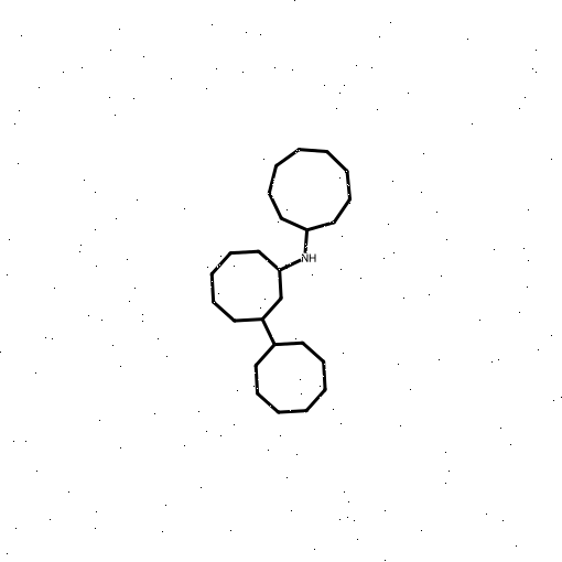 C1CCCCC(NC2CCCCCC(C3CCCCCCC3)C2)CCC1